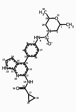 CC1CN([S+]([O-])Nc2ccc(-c3cc(NC(=O)C4CC4)nc4[nH]ccc34)cc2)CC(C)O1